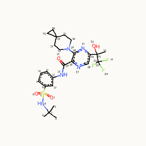 CC(C)(C)NS(=O)(=O)c1cccc(NC(=O)c2ncc(C(C)(O)C(F)(F)F)nc2N2CCC3(CC2)CC3)c1